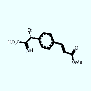 CC[C@@H](C(=N)C(=O)O)c1ccc(/C=C/C(=O)OC)cc1